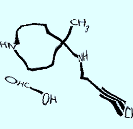 C#CCNC1(C)CCNCC1.O=CO